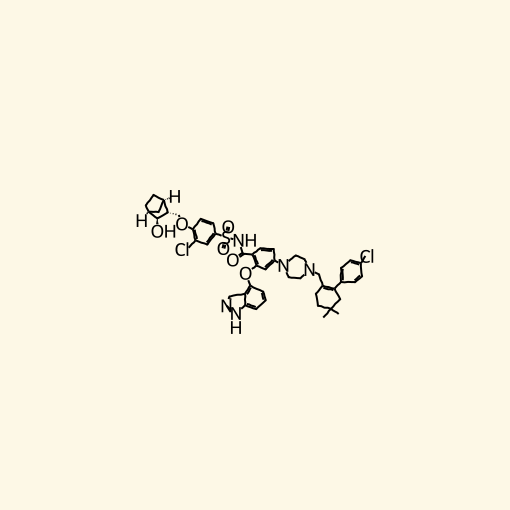 CC1(C)CCC(CN2CCN(c3ccc(C(=O)NS(=O)(=O)c4ccc(OC[C@H]5[C@@H]6CC[C@@H](C6)[C@@H]5O)c(Cl)c4)c(Oc4cccc5[nH]ncc45)c3)CC2)=C(c2ccc(Cl)cc2)C1